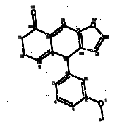 COc1cccc(C2C3=NCCC(=O)C3=Nc3occc32)c1